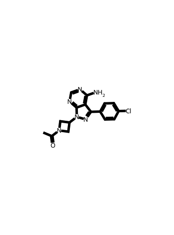 CC(=O)N1CC(n2nc(-c3ccc(Cl)cc3)c3c(N)ncnc32)C1